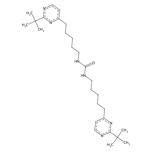 CC(C)(C)c1nccc(CCCCCNC(=O)NCCCCCc2ccnc(C(C)(C)C)n2)n1